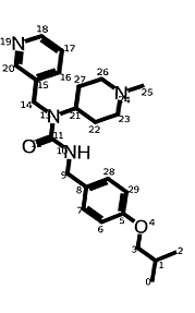 CC(C)COc1ccc(CNC(=O)N(Cc2cccnc2)C2CCN(C)CC2)cc1